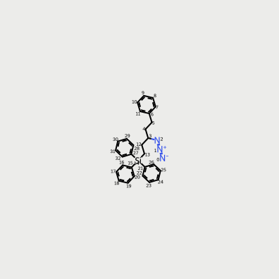 [N-]=[N+]=NC(CCc1ccccc1)CC[Si](c1ccccc1)(c1ccccc1)c1ccccc1